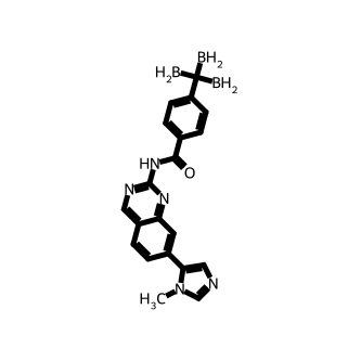 BC(B)(B)c1ccc(C(=O)Nc2ncc3ccc(-c4cncn4C)cc3n2)cc1